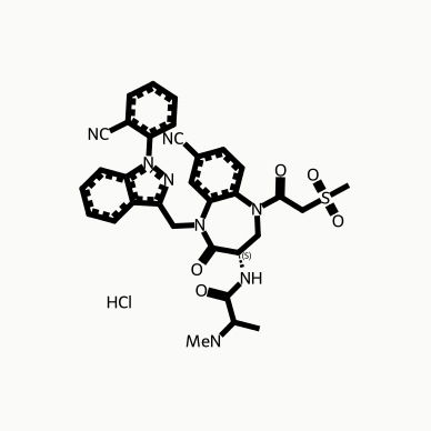 CNC(C)C(=O)N[C@H]1CN(C(=O)CS(C)(=O)=O)c2ccc(C#N)cc2N(Cc2nn(-c3ccccc3C#N)c3ccccc23)C1=O.Cl